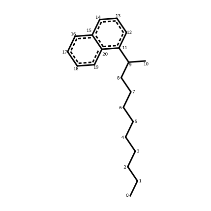 CCCCCCCCCC(C)c1cccc2ccccc12